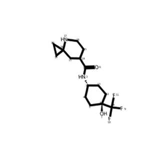 O=C(N[C@H]1CC[C@@](O)(C(F)(F)F)CC1)C1CCNC2(CC2)C1